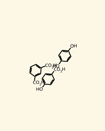 O=C(O)c1ccc(O)cc1.O=C(O)c1cccc(C(=O)O)c1.Oc1ccc(O)cc1